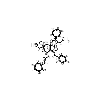 CCOC(=O)[C@@]1(OCc2ccccc2)C[C@](O)(CO)O[C@H](COCc2ccccc2)[C@H]1OCc1ccccc1